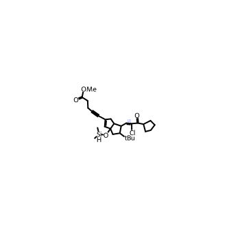 COC(=O)CCC#CC1=CC2(O[SiH](C)C)CC(C(C)(C)C)C(/C=C(\Cl)C(=O)C3CCCC3)C2C1